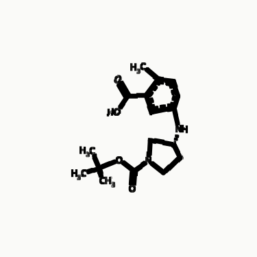 Cc1ccc(N[C@@H]2CCN(C(=O)OC(C)(C)C)C2)cc1C(=O)O